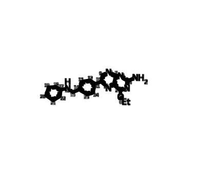 CCOc1nc(N)nc2ncc(-c3ccc(CNc4ccccc4)cc3)nc12